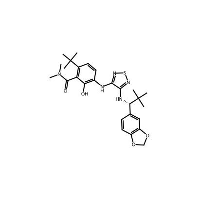 CN(C)C(=O)c1c(C(C)(C)C)ccc(Nc2nsnc2N[C@@H](c2ccc3c(c2)OCO3)C(C)(C)C)c1O